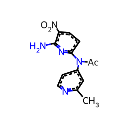 CC(=O)N(c1ccnc(C)c1)c1ccc([N+](=O)[O-])c(N)n1